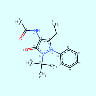 CCc1c(NC(C)=O)c(=O)n(C(C)(C)C)n1-c1ccccc1